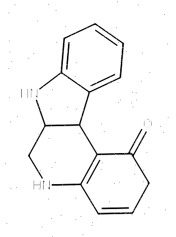 O=C1CC=CC2=C1C1c3ccccc3NC1CN2